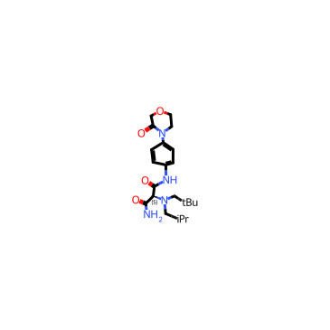 CC(C)CN(CC(C)(C)C)[C@@H](C(N)=O)C(=O)Nc1ccc(N2CCOCC2=O)cc1